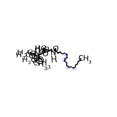 CCCCC/C=C\C/C=C\C/C=C\C/C=C\CCCC(=O)NCCOP(=O)(O)OCC(NC(=O)OC(C)(C)C)C(=O)OC(C)(C)C